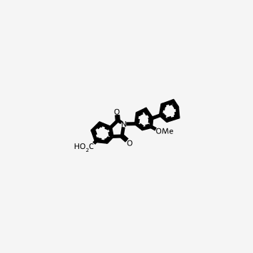 COc1cc(N2C(=O)c3ccc(C(=O)O)cc3C2=O)ccc1-c1ccccc1